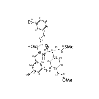 CCc1cccc(CNC[C@H](O)[C@H](Cc2cc(F)cc(F)c2)NC(=O)[C@H](CCSC)N2CCC(CCOC)CC2)c1